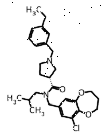 CCc1cccc(CN2CC[C@@H](C(=O)N(Cc3cc(Cl)c4c(c3)OCCCO4)CC(C)C)C2)c1